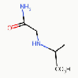 CC(NCC(N)=O)C(=O)O